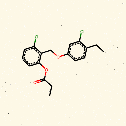 CCC(=O)Oc1cccc(Cl)c1COc1ccc(CC)c(Cl)c1